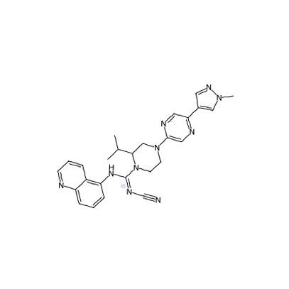 CC(C)C1CN(c2cnc(-c3cnn(C)c3)cn2)CCN1/C(=N\C#N)Nc1cccc2ncccc12